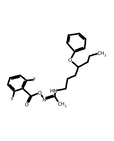 CCCC(CCCNC(C)=NOC(=O)c1c(F)cccc1F)Oc1ccccc1